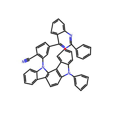 N#Cc1ccc(-c2nc(-c3ccccc3)nc3ccccc23)cc1-n1c2ccccc2c2ccc3c(c4ccccc4n3-c3ccccc3)c21